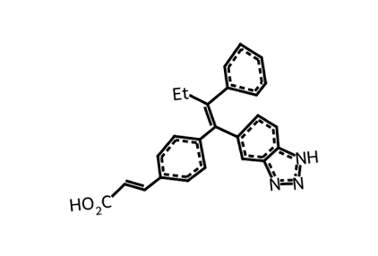 CCC(=C(c1ccc(C=CC(=O)O)cc1)c1ccc2[nH]nnc2c1)c1ccccc1